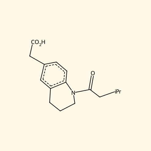 CC(C)CC(=O)N1CCCc2cc(CC(=O)O)ccc21